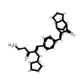 CCCC(=O)/C(=C/c1ccc(/C=C2/C(=O)C3CC2C2CCCC32)cc1)CC1CCCC1